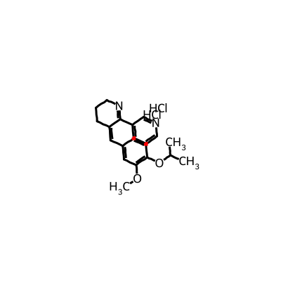 COc1cc(/C=C2/CCCN=C2c2cccnc2)ccc1OC(C)C.Cl.Cl